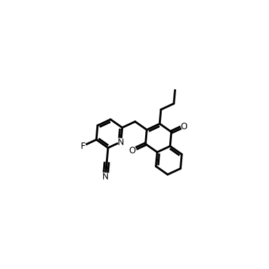 CCCC1=C(Cc2ccc(F)c(C#N)n2)C(=O)C2=CCCC=C2C1=O